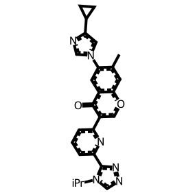 Cc1cc2occ(-c3cccc(-c4nncn4C(C)C)n3)c(=O)c2cc1-n1cnc(C2CC2)c1